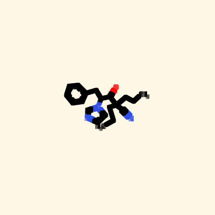 CCCC(C#N)(CCC)C(=O)C(Cc1ccccc1)n1ccnc1